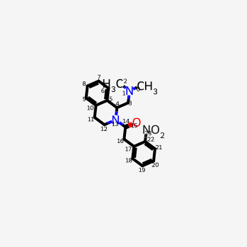 CN(C)CC1c2ccccc2CCN1C(=O)Cc1ccccc1[N+](=O)[O-]